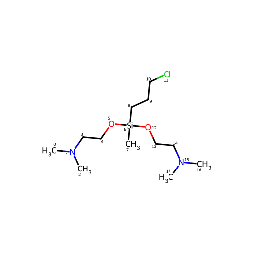 CN(C)CCO[Si](C)(CCCCl)OCCN(C)C